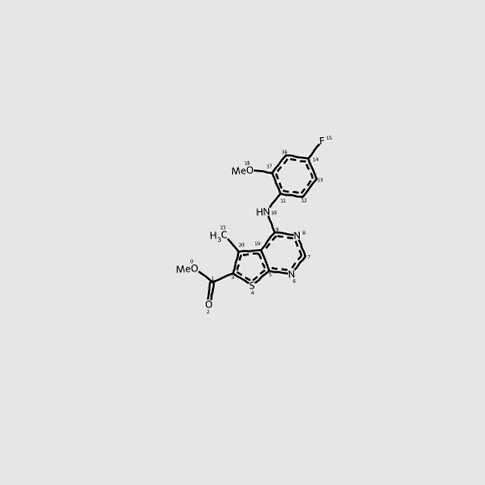 COC(=O)c1sc2ncnc(Nc3ccc(F)cc3OC)c2c1C